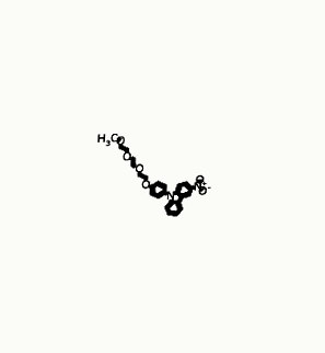 COCCOCCOCCOc1ccc(-n2c3ccccc3c3cc([N+](=O)[O-])ccc32)cc1